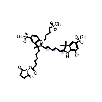 CC1(CCCCCC(=O)ON2C(=O)CCC2=O)C(/C=C/C=C/C=C2/Nc3c(Cl)cc(S(=O)(=O)O)cc3C2(C)C)=[N+](CCCCS(=O)(=O)O)c2ccc(S(=O)(=O)O)cc21